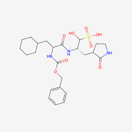 O=C(NC(CC1CCCCC1)C(=O)N[C@@H](CC1CCNC1=O)C(O)S(=O)(=O)O)OCc1ccccc1